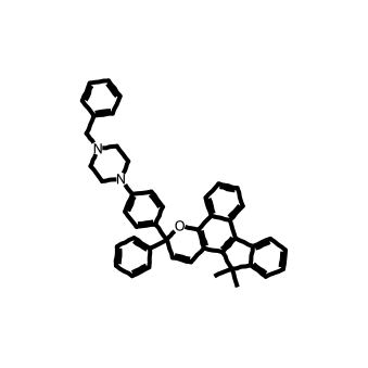 CC1(C)c2ccccc2-c2c1c1c(c3ccccc23)OC(c2ccccc2)(c2ccc(N3CCN(Cc4ccccc4)CC3)cc2)C=C1